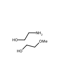 COCCO.NCCO